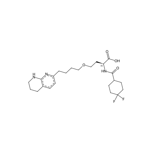 O=C(N[C@@H](CCOCCCCc1ccc2c(n1)NCCC2)C(=O)O)C1CCC(F)(F)CC1